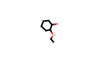 CCOC1CCCCC1Br